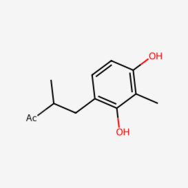 CC(=O)C(C)Cc1ccc(O)c(C)c1O